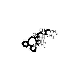 C=C(/C=C\C)NC(=C)/C=C(\C)C1(C)CCc2ccccc2-c2cccc[n+]2C(=C)C1(C)N